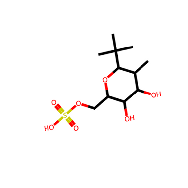 CC1C(O)C(O)C(COS(=O)(=O)O)OC1C(C)(C)C